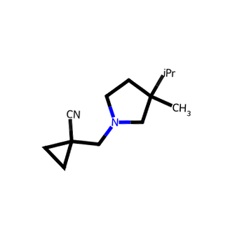 CC(C)C1(C)CCN(CC2(C#N)CC2)C1